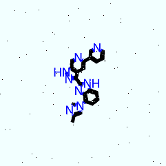 Cc1cn(-c2cccc3[nH]c(-c4n[nH]c5cnc(-c6cccnc6)cc45)nc23)cn1